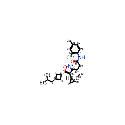 CCC(CC)C[C@H]1C[C@H](c2onc([C@@H](CC(=O)O)CC(=O)Nc3ccc(C)cc3Cl)c2C2CC2)C1